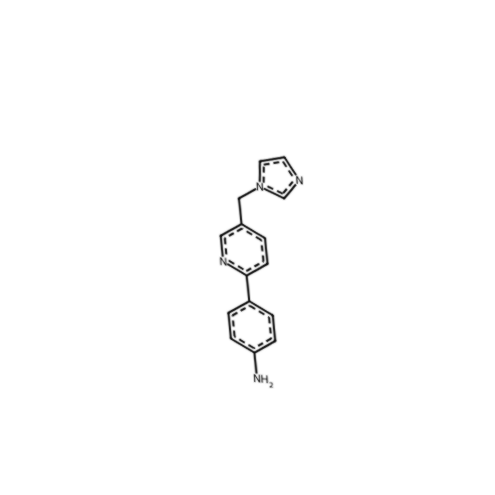 Nc1ccc(-c2ccc(Cn3ccnc3)cn2)cc1